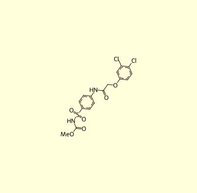 COC(=O)NS(=O)(=O)c1ccc(NC(=O)COc2ccc(Cl)c(Cl)c2)cc1